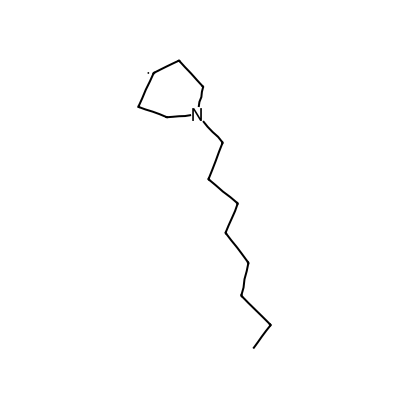 CCCCCCCCN1CC[CH]CC1